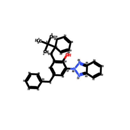 CC(C)(C)C1(Cc2cc(Cc3ccccc3)cc(-n3nc4ccccc4n3)c2O)C=CC=CC1